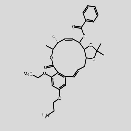 COCOc1cc(OCCN)cc2c1C(=O)OC(C)[C@H](C)/C=C\C(OC(=O)c1ccccc1)C1OC(C)(C)OC1C/C=C/2